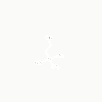 CCCC[Si](C)(CCO)CCCC